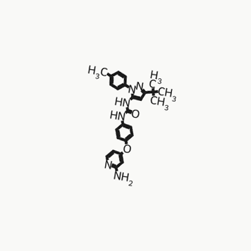 Cc1ccc(-n2nc(C(C)(C)C)cc2NC(=O)Nc2ccc(Oc3ccnc(N)c3)cc2)cc1